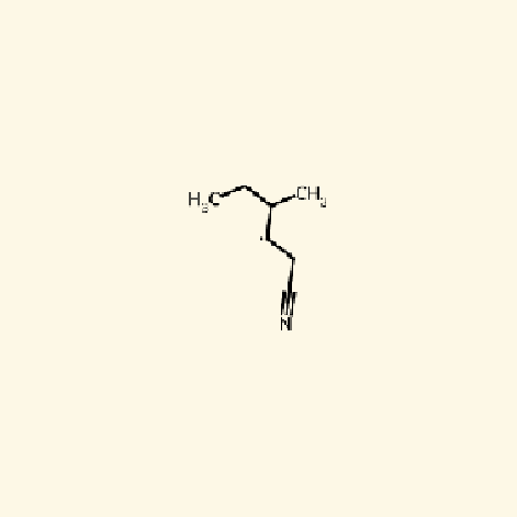 CCC(C)[CH]CC#N